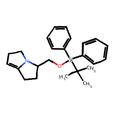 CC(C)(C)[Si](OCC1CCC2=CCCN21)(c1ccccc1)c1ccccc1